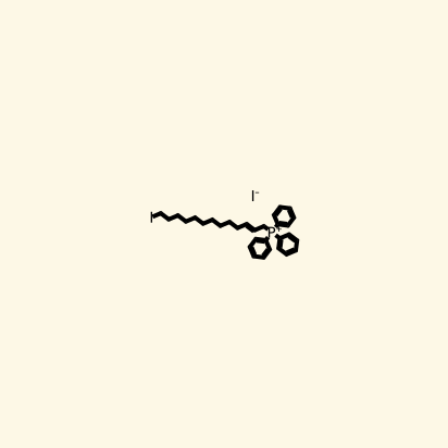 ICCCCCCCCCCC=CC[P+](c1ccccc1)(c1ccccc1)c1ccccc1.[I-]